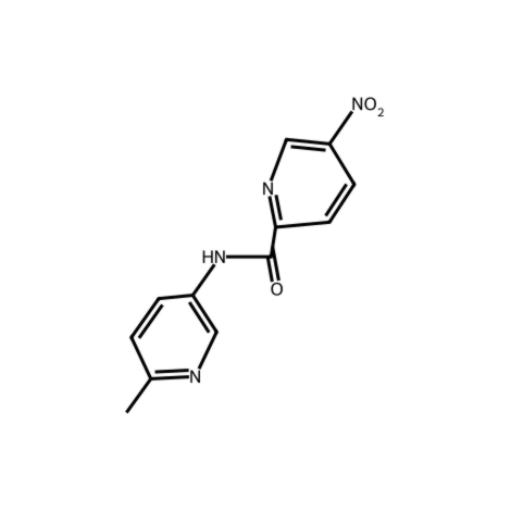 Cc1ccc(NC(=O)c2ccc([N+](=O)[O-])cn2)cn1